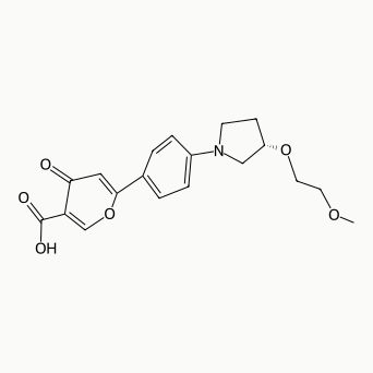 COCCO[C@H]1CCN(c2ccc(-c3cc(=O)c(C(=O)O)co3)cc2)C1